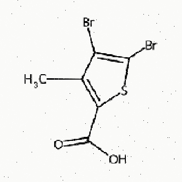 Cc1c(C(=O)O)sc(Br)c1Br